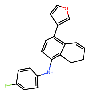 Fc1ccc(Nc2ccc(-c3ccoc3)c3c2CCC=C3)cc1